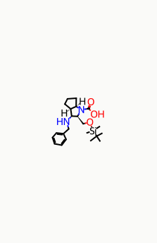 CC(C)(C)[Si](C)(C)OC[C@H]1[C@@H](NCc2ccccc2)[C@H]2CCC[C@H]2N1C(=O)O